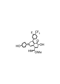 COC(=N)C1=CC(O)C(=O)C2=C(c3ccc(C(F)(F)F)c(F)c3)CN(c3ccc(O)cc3)C=C12